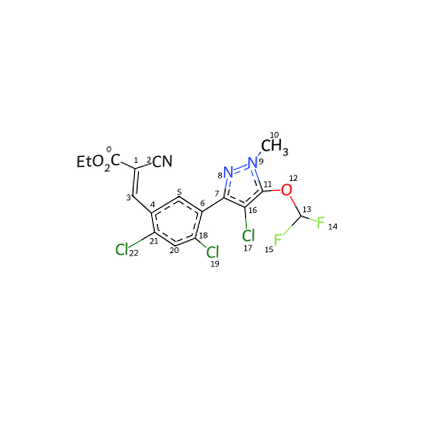 CCOC(=O)C(C#N)=Cc1cc(-c2nn(C)c(OC(F)F)c2Cl)c(Cl)cc1Cl